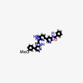 COc1cccc(-c2ccnc3[nH]c(-c4n[nH]c5ccc(-c6cncc(NC(=O)c7ccccc7)c6)nc45)nc23)c1